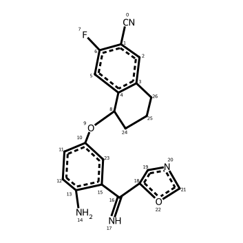 N#Cc1cc2c(cc1F)C(Oc1ccc(N)c(C(=N)c3cnco3)c1)CCC2